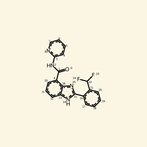 O=C(Nc1ccccn1)c1cccc2[nH]c(-c3ccccc3C(F)F)nc12